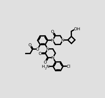 CCC(=O)Oc1cccc(N2CCN(C3CCC3CO)CC2=O)c1N1CCN(c2cc(Cl)ccc2N)C(=O)C1=O